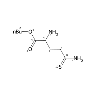 CCCCOC(=O)C(N)CCC(N)=S